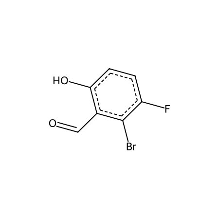 O=Cc1c(O)ccc(F)c1Br